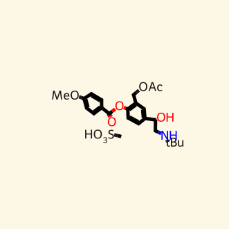 COc1ccc(C(=O)Oc2ccc(C(O)CNC(C)(C)C)cc2COC(C)=O)cc1.CS(=O)(=O)O